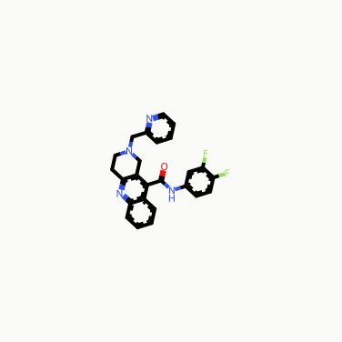 O=C(Nc1ccc(F)c(F)c1)c1c2c(nc3ccccc13)CCN(Cc1ccccn1)C2